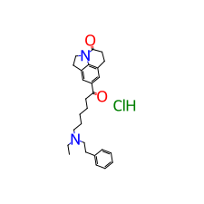 CCN(CCCCCC(=O)c1cc2c3c(c1)CCN3C(=O)CC2)CCc1ccccc1.Cl